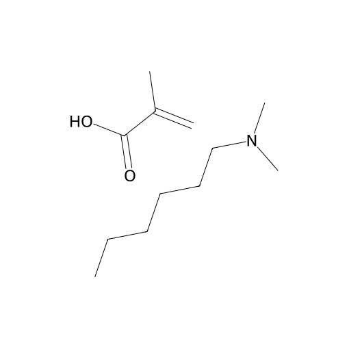 C=C(C)C(=O)O.CCCCCCN(C)C